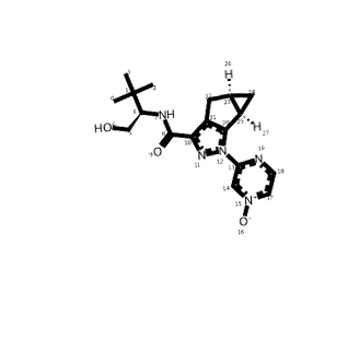 CC(C)(C)[C@H](CO)NC(=O)c1nn(-c2c[n+]([O-])ccn2)c2c1C[C@H]1C[C@@H]21